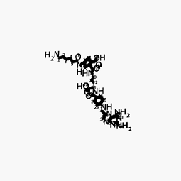 NCCCCCC(=O)Nc1ccc(C(=O)O)c(C(=O)NCCC[C@H](NC(=O)c2ccc(NCc3cnc4nc(N)nc(N)c4n3)cc2)C(=O)O)c1